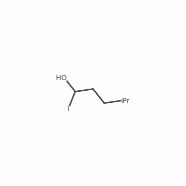 CC(C)CCC(O)I